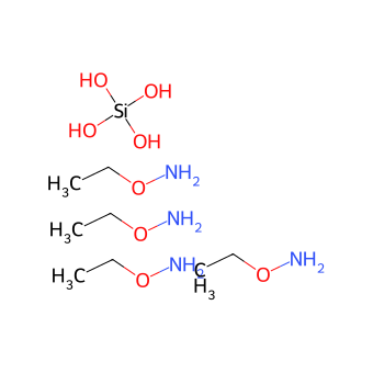 CCON.CCON.CCON.CCON.O[Si](O)(O)O